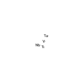 [Nb].[Ta].[Ti].[V]